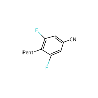 CCCC(C)c1c(F)cc(C#N)cc1F